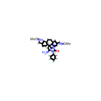 CONCc1ccc2c(c1)CCc1cc(CNOC)ccc1C2(CCN)c1nn(-c2ccc(F)cc2)c(=O)[nH]1